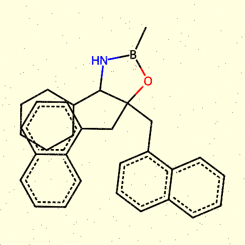 CB1NC(C2CCCCC2)C(Cc2cccc3ccccc23)(Cc2cccc3ccccc23)O1